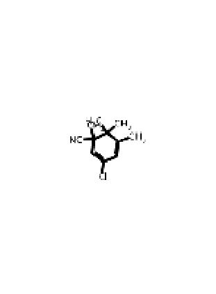 CC1=CC(Cl)=CC(C)(C#N)C1(C)C